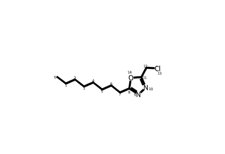 CCCCCCCCc1nnc(CCl)o1